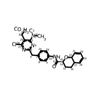 CN(C)c1nc(Cc2ccc(NC(=O)[C@@H]3CCC4C=CC=CC4O3)cc2)nc(Cl)c1CC(=O)O